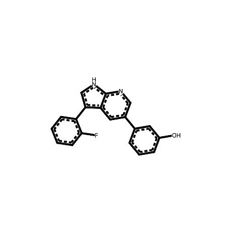 Oc1cccc(-c2cnc3[nH]cc(-c4ccccc4F)c3c2)c1